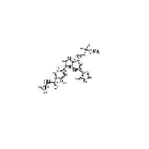 COC(C)(C)CNc1cc(-c2ccnn2C)nn2c(-c3ccc(C(=O)NC4CC4)c(C)c3)cnc12